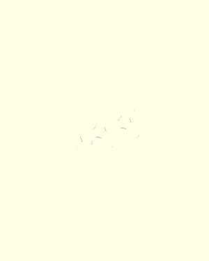 CC(Sc1cc(NC(=O)C(C)(C)C)ccc1Oc1cc(CC(=O)O)cc(C(F)(F)F)c1)C(F)(F)F